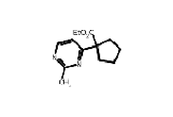 CCOC(=O)C1(c2ccnc(C)n2)CCCC1